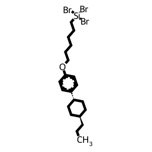 CCC[C@H]1CC[C@H](c2ccc(OCCCCCC[Si](Br)(Br)Br)cc2)CC1